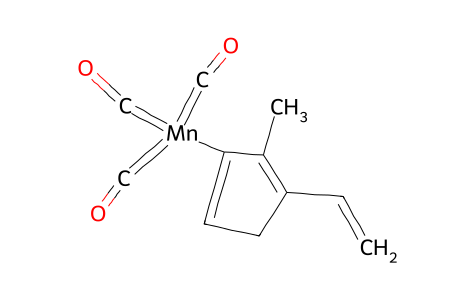 C=CC1=C(C)[C]([Mn](=[C]=O)(=[C]=O)=[C]=O)=CC1